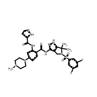 CN1CCN(c2ccc(C(=O)Nc3n[nH]c4c3CN(S(=O)(=O)c3cc(F)cc(F)c3)C4(C)C)c(NC(=O)c3ccn[nH]3)c2)CC1